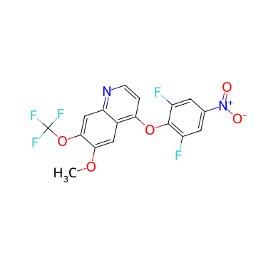 COc1cc2c(Oc3c(F)cc([N+](=O)[O-])cc3F)ccnc2cc1OC(F)(F)F